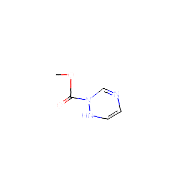 COC(=O)N1C=NC=CN1